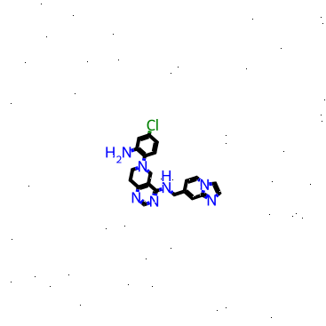 Nc1cc(Cl)ccc1N1CCc2ncnc(NCc3ccn4ccnc4c3)c2C1